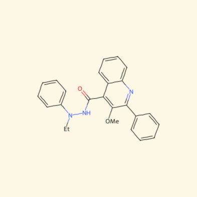 CCN(NC(=O)c1c(OC)c(-c2ccccc2)nc2ccccc12)c1ccccc1